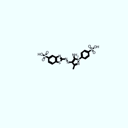 Cc1nn(-c2ccc(S(=O)(=O)O)cc2)c(N)c1/N=N/c1nc2cc(S(=O)(=O)O)ccc2s1